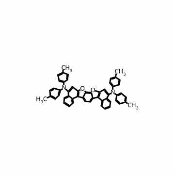 Cc1ccc(N(c2ccc(C)cc2)c2cc3oc4c(ccc5c4oc4cc(N(c6ccc(C)cc6)c6ccc(C)cc6)c6ccccc6c45)c3c3ccccc23)cc1